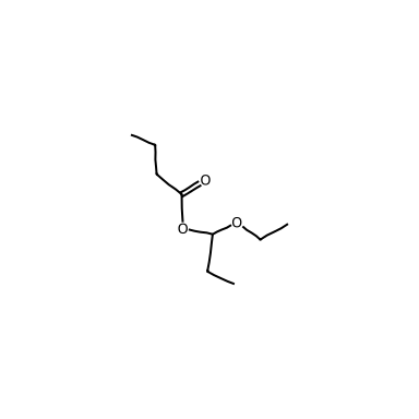 CCCC(=O)OC(CC)OCC